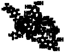 CN[C@@H](CC(C)C)C(=O)N[C@H]1C(=O)N[C@@H](CC(N)=O)C(=O)NC2C(=O)N[C@@H]3C(=O)N[C@@H](C(=O)N[C@@H](C(=O)O)c4cc(O)cc(O)c4-c4cc3ccc4O)[C@H](O)c3ccc(c(Cl)c3)Oc3cc2cc(c3OC2O[C@@H](CO)[C@@H](O)[C@@H](O)[C@H]2O[C@H]2CC(C)(NCCn3ccc(NC(=O)Cc4cccc(OC(F)(F)F)c4)nc3=O)[C@@H](O)C(C)O2)Oc2ccc(cc2Cl)[C@H]1O